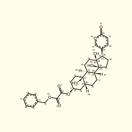 C[C@]12CC[C@H](OC(=O)C(=O)OCc3ccccc3)C[C@H]1CC[C@@H]1[C@@H]2CC[C@]2(C)[C@@H](c3ccc(=O)oc3)CC[C@]12O